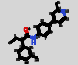 CCC(C(=O)Nc1ccc(-c2ccnc(C)c2)cc1)c1cccc(C)c1